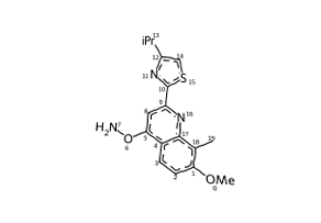 COc1ccc2c(ON)cc(-c3nc(C(C)C)cs3)nc2c1C